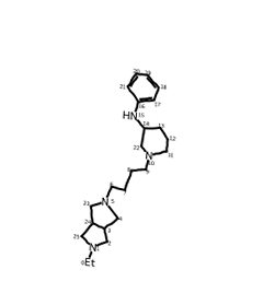 CCN1CC2CN(CCCCN3CCCC(Nc4ccccc4)C3)CC2C1